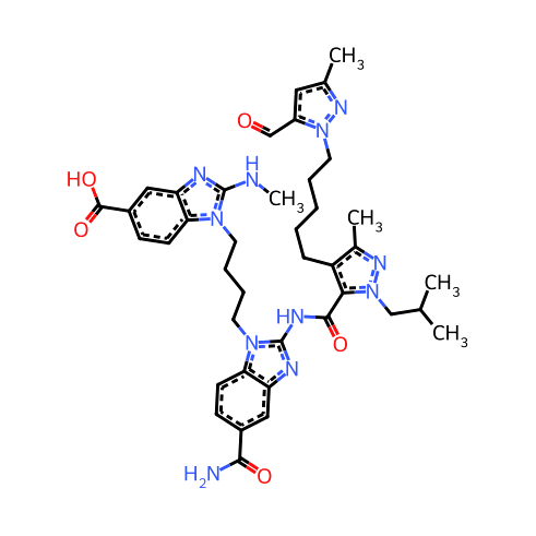 CNc1nc2cc(C(=O)O)ccc2n1CCCCn1c(NC(=O)c2c(CCCCCn3nc(C)cc3C=O)c(C)nn2CC(C)C)nc2cc(C(N)=O)ccc21